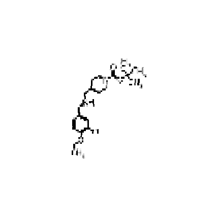 CCOc1ccc(CNCC2CCN(C(=O)OC(C)(C)C)CC2)cc1Cl